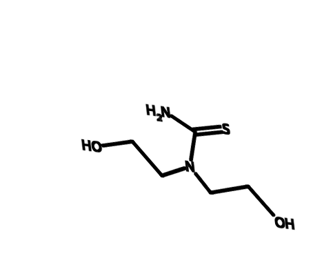 NC(=S)N(CCO)CCO